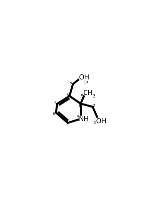 CC1(CO)NC=CC=C1CO